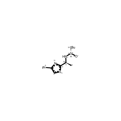 CC(C)c1csc([C@H](C)N[S@@+]([O-])C(C)(C)C)n1